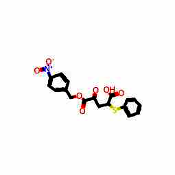 O=C(CC(Sc1ccccc1)C(=O)O)C(=O)OCc1ccc([N+](=O)[O-])cc1